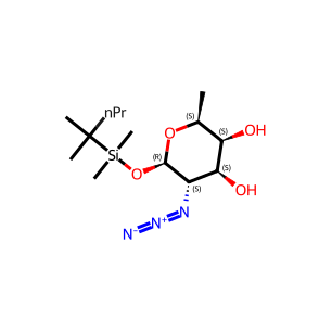 CCCC(C)(C)[Si](C)(C)O[C@H]1O[C@@H](C)[C@@H](O)[C@@H](O)[C@@H]1N=[N+]=[N-]